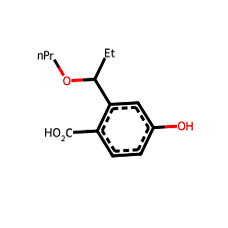 CCCOC(CC)c1cc(O)ccc1C(=O)O